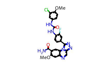 COc1ccc(NC(=O)Nc2ccc(-c3nnc4cnc5cc(OC)c(C(N)=O)cc5n34)cc2F)cc1Cl